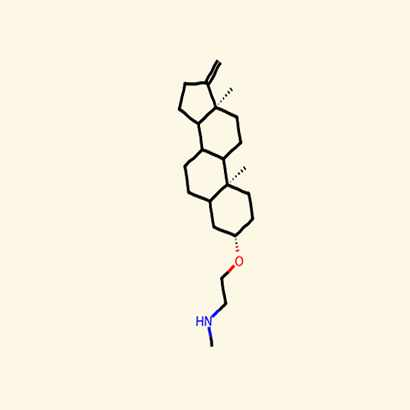 C=C1CCC2C3CCC4C[C@@H](OCCNC)CC[C@]4(C)C3CC[C@]12C